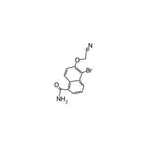 N#CCOc1ccc2c(C(N)=O)[c]ccc2c1Br